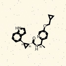 C[C@@H](NC(=O)[C@@H]1C[C@H]1c1cccc2[nH]ccc12)c1ccc(OCC2CC2)cn1